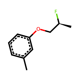 Cc1cccc(OC[C@H](C)F)c1